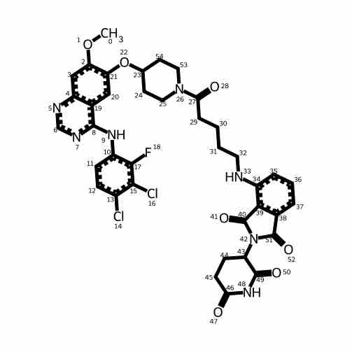 COc1cc2ncnc(Nc3ccc(Cl)c(Cl)c3F)c2cc1OC1CCN(C(=O)CCCCNc2cccc3c2C(=O)N(C2CCC(=O)NC2=O)C3=O)CC1